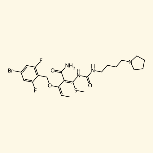 C/C=C(OCc1c(F)cc(Br)cc1F)\C(C(N)=O)=C(\NC(=O)NCCCCN1CCCC1)SC